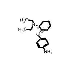 CCN(CC)[C@@H]1CCCC[C@H]1Oc1ccc(N)cc1